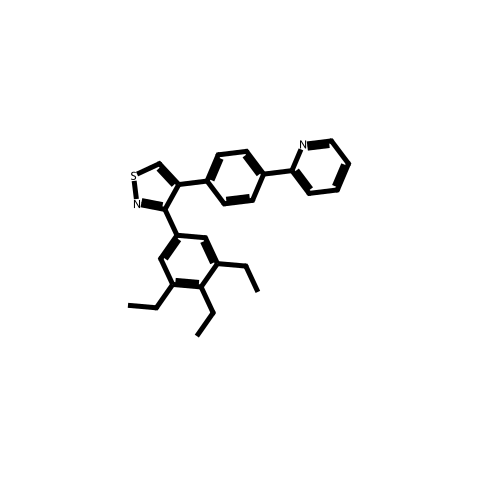 CCc1cc(-c2nscc2-c2ccc(-c3ccccn3)cc2)cc(CC)c1CC